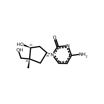 C[C@]1(CO)C[C@@H](n2ccc(N)nc2=O)C[C@@H]1O